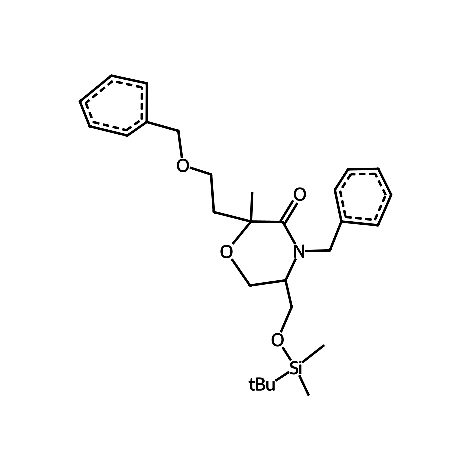 CC1(CCOCc2ccccc2)OCC(CO[Si](C)(C)C(C)(C)C)N(Cc2ccccc2)C1=O